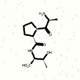 C[C@H](N)C(=O)N1CCC[C@H]1C(=O)N[C@H](C(=O)O)[C@@H](C)O